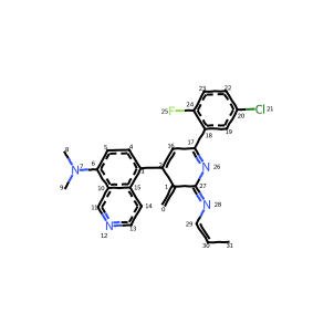 C=C1C(c2ccc(N(C)C)c3cnccc23)=CC(c2cc(Cl)ccc2F)=N/C1=N/C=C\C